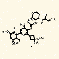 C=CC(=O)N[C@H]1CCOC[C@H]1N/C(N=C)=N/c1c(C)cc(-c2c(F)c(OC)cc(OC)c2F)nc1N1CC(C)(OC)C1